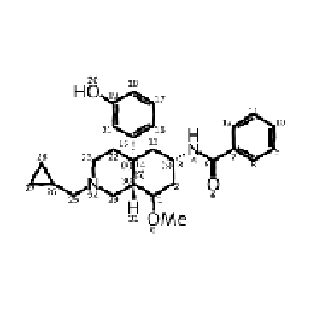 COC1C[C@@H](NC(=O)c2ccccc2)C[C@]2(c3cccc(O)c3)CCN(CC3CC3)C[C@@H]12